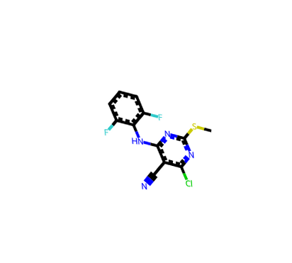 CSc1nc(Cl)c(C#N)c(Nc2c(F)cccc2F)n1